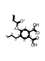 C=CC(=O)Oc1cc(C(=O)O)c(C(=O)O)cc1CCC